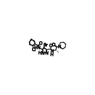 C[C@H](NC(=O)c1n[nH]c(NC(=O)c2ccccc2Cl)c1Br)C(=O)N1CCCCC1